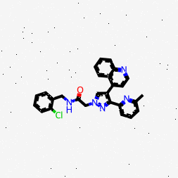 Cc1cccc(-c2nn(CC(=O)NCc3ccccc3Cl)cc2-c2ccnc3ccccc23)n1